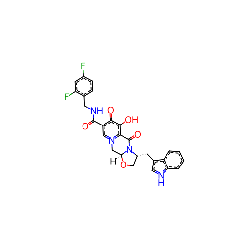 O=C(NCc1ccc(F)cc1F)c1cn2c(c(O)c1=O)C(=O)N1[C@H](Cc3c[nH]c4ccccc34)CO[C@H]1C2